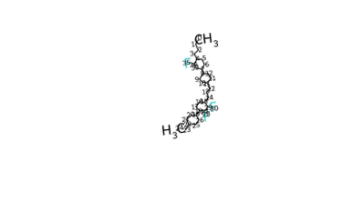 CCCCC1CCC(C2CCC(CCCC3CCC(C4CCC(CC)CC4)C(F)C3F)CC2)CC1F